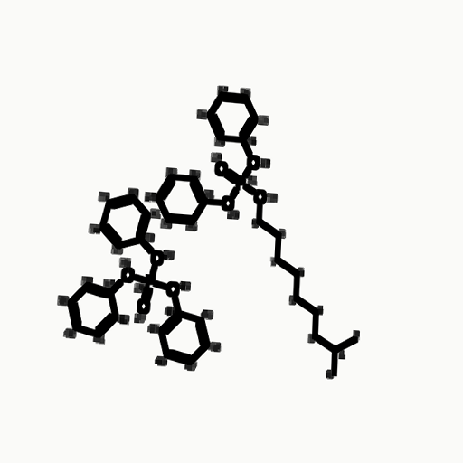 CC(C)CCCCCCCOP(=O)(Oc1ccccc1)Oc1ccccc1.O=P(Oc1ccccc1)(Oc1ccccc1)Oc1ccccc1